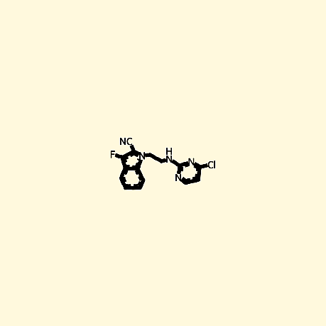 N#Cc1c(F)c2ccccc2n1CCNc1nccc(Cl)n1